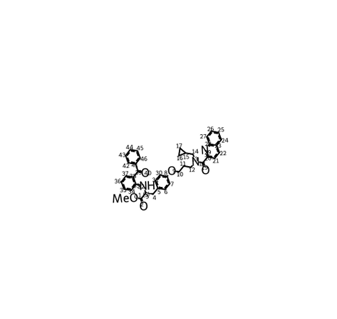 COC(=O)[C@H](Cc1ccc(OCCCN(CC2CC2)C(=O)c2ccc3ccccc3n2)cc1)Nc1ccccc1C(=O)c1ccccc1